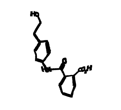 O=C(O)c1ccccc1C(=O)Nc1ccc(CCO)cc1